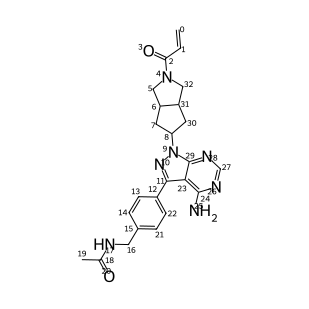 C=CC(=O)N1CC2CC(n3nc(-c4ccc(CNC(C)=O)cc4)c4c(N)ncnc43)CC2C1